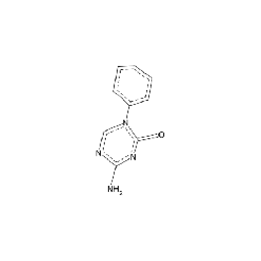 Nc1ncn(-c2ccccc2)c(=O)n1